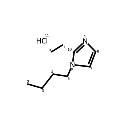 CC.CCCCn1ccnc1.Cl